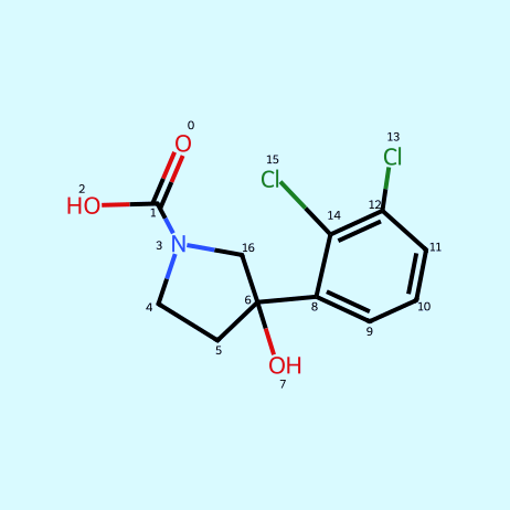 O=C(O)N1CCC(O)(c2cccc(Cl)c2Cl)C1